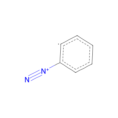 N#[N+]c1[c]cccc1